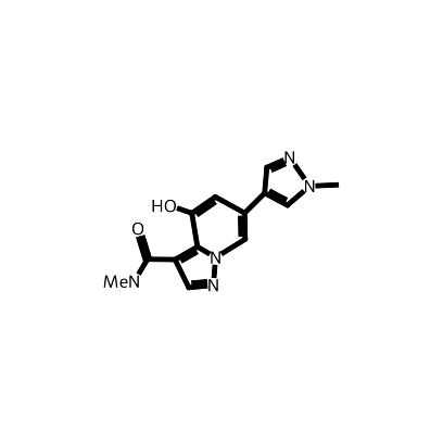 CNC(=O)c1cnn2cc(-c3cnn(C)c3)cc(O)c12